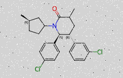 CC1C[C@H](c2cccc(Cl)c2)[C@@H](c2ccc(Cl)cc2)N(C2CC[C@@H](C)C2)C1=O